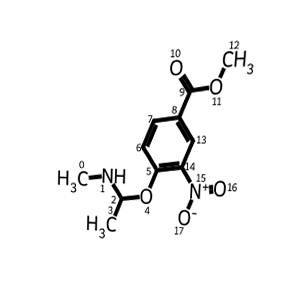 CNC(C)Oc1ccc(C(=O)OC)cc1[N+](=O)[O-]